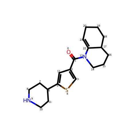 O=C(c1csc(C2CCNCC2)c1)N1CCCC2CCCC=C21